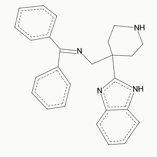 c1ccc(C(=NCC2(c3nc4ccccc4[nH]3)CCNCC2)c2ccccc2)cc1